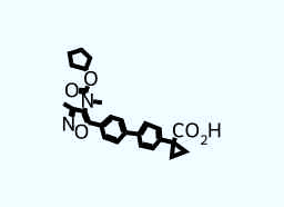 Cc1noc(-c2ccc(-c3ccc(C4(C(=O)O)CC4)cc3)cc2)c1N(C)C(=O)OC1CCCC1